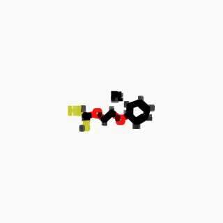 S=C(S)OCCOc1ccccc1.[Pt]